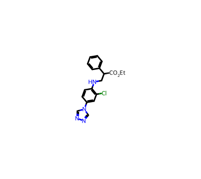 CCOC(=O)C(CNc1ccc(-n2cnnc2)cc1Cl)c1ccccc1